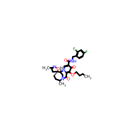 CCCCOc1c2n(cc(C(=O)[15NH]Cc3ccc(F)cc3F)c1=O)[C@@H]1CN(C2=O)[C@@H](C)CC[C@]12CC(C)=NO2